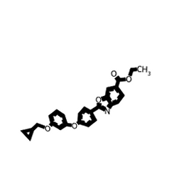 CCOC(=O)c1ccc2nc(-c3ccc(Oc4cccc(OCC5CC5)c4)cc3)oc2c1